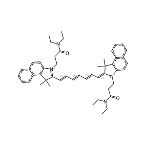 CCN(CC)C(=O)CCN1/C(=C/C=C/C=C/C=C/C2=[N+](CCC(=O)N(CC)CC)c3ccc4ccccc4c3C2(C)C)C(C)(C)c2c1ccc1ccccc21